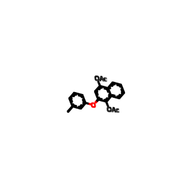 CC(=O)Oc1cc(Oc2cccc(C)c2)c(OC(C)=O)c2ccccc12